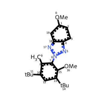 COc1ccc2nn(-c3c(C)c(C(C)(C)C)cc(C(C)(C)C)c3OC)nc2c1